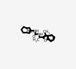 Cc1c([C@H](C)NC(=O)NC2CC3CCCC(C2)N3C)oc2ccccc12